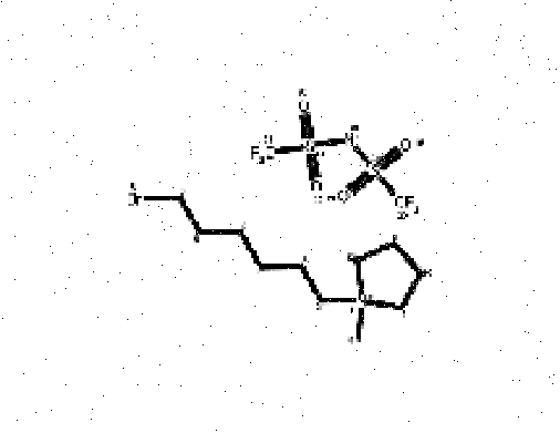 C[N+]1(CCCCCCBr)CCCC1.O=S(=O)([N-]S(=O)(=O)C(F)(F)F)C(F)(F)F